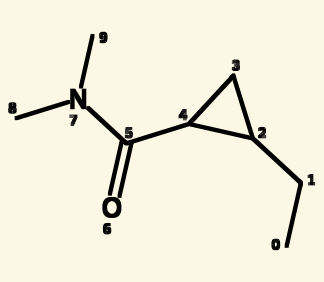 CCC1CC1C(=O)N(C)C